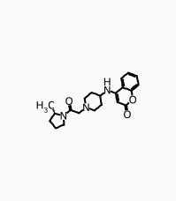 C[C@@H]1CCCN1C(=O)CN1CCC(Nc2cc(=O)oc3ccccc23)CC1